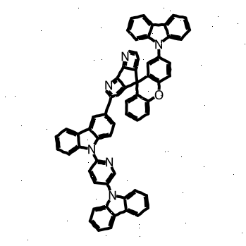 c1ccc2c(c1)Oc1ccc(-n3c4ccccc4c4ccccc43)cc1C21c2cccnc2-c2ncc(-c3ccc4c(c3)c3ccccc3n4-c3ccc(-n4c5ccccc5c5ccccc54)cn3)cc21